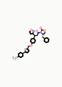 O=C(CC(c1ccc(OCc2ccc(-c3ccc(C(F)(F)F)cc3)s2)cc1)c1ccon1)N1C(=O)OC[C@@H]1Cc1ccccc1